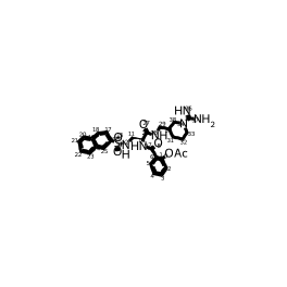 CC(=O)Oc1ccccc1C(=O)N[C@@H](CNS(=O)(=O)c1ccc2ccccc2c1)C(=O)NCC1CCCN(C(=N)N)C1